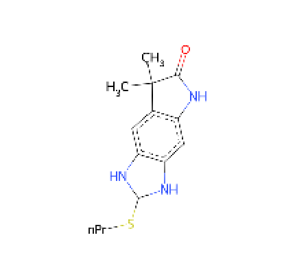 CCCSC1Nc2cc3c(cc2N1)C(C)(C)C(=O)N3